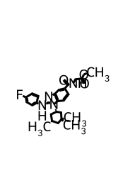 COC(=O)CNC(=O)c1ccc2c(c1)nc(Nc1ccc(F)cc1)n2[C@@H]1C[C@H](C)CC(C)(C)C1